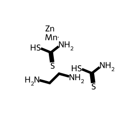 NC(=S)S.NC(=S)S.NCCN.[Mn].[Zn]